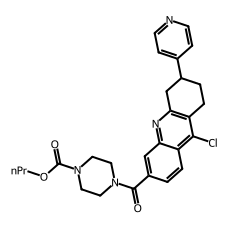 CCCOC(=O)N1CCN(C(=O)c2ccc3c(Cl)c4c(nc3c2)CC(c2ccncc2)CC4)CC1